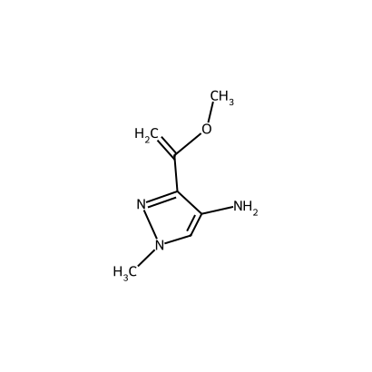 C=C(OC)c1nn(C)cc1N